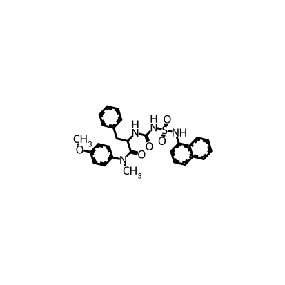 COc1ccc(N(C)C(=O)C(Cc2ccccc2)NC(=O)NS(=O)(=O)Nc2cccc3ccccc23)cc1